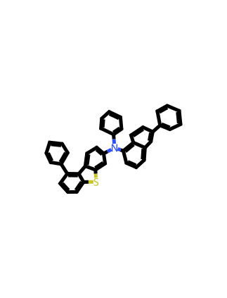 c1ccc(-c2ccc3c(N(c4ccccc4)c4ccc5c(c4)sc4cccc(-c6ccccc6)c45)cccc3c2)cc1